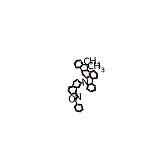 CC1(C)c2ccccc2-c2cc(N(c3ccc4ccc5oc(-c6ccccc6)nc5c4c3)c3ccccc3-c3ccccc3)ccc21